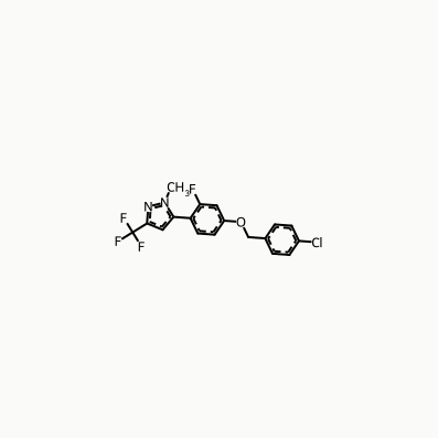 Cn1nc(C(F)(F)F)cc1-c1ccc(OCc2ccc(Cl)cc2)cc1F